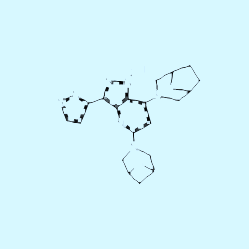 Cn1nc(-c2cc[nH]n2)c2nc(N3CC4CC(C3)O4)cc(N3CC4CCC(C3)O4)c21